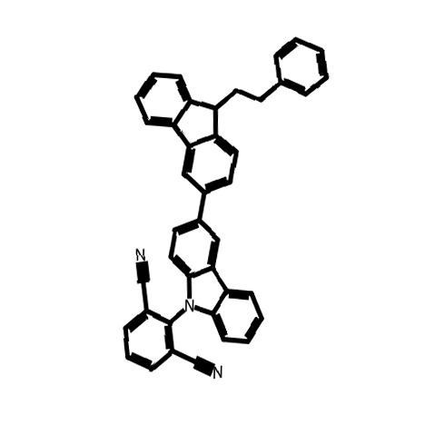 N#Cc1cccc(C#N)c1-n1c2ccccc2c2cc(-c3ccc4c(c3)-c3ccccc3C4CCc3ccccc3)ccc21